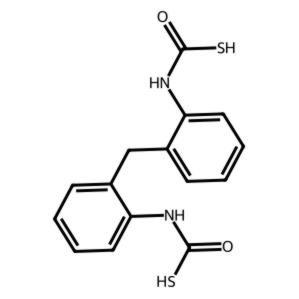 O=C(S)Nc1ccccc1Cc1ccccc1NC(=O)S